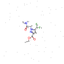 CCOC(=O)c1cc(C(F)F)n(CC(=O)N(C)C)n1